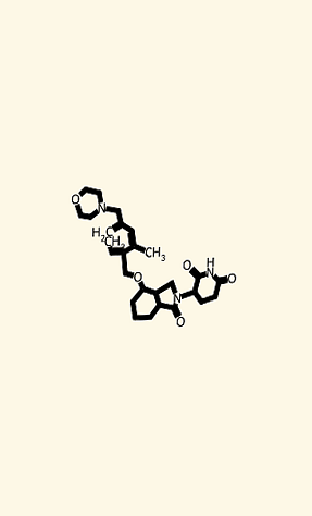 C=C(/C=C(C)\C(=C/C)COC1CCCC2C(=O)N(C3CCC(=O)NC3=O)CC12)CN1CCOCC1